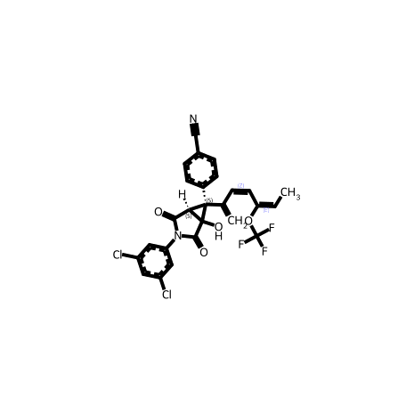 C=C(/C=C\C(=C/C)OC(F)(F)F)[C@]1(c2ccc(C#N)cc2)[C@@H]2C(=O)N(c3cc(Cl)cc(Cl)c3)C(=O)C21O